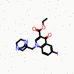 CCOC(=O)c1cn(CC2CN3CCN2CC3)c2ccc(I)cc2c1=O